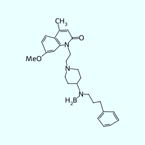 BN(CCCc1ccccc1)C1CCN(CCn2c(=O)cc(C)c3ccc(OC)cc32)CC1